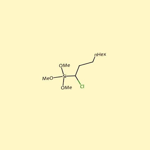 CCCCCCCCC(Cl)[Si](OC)(OC)OC